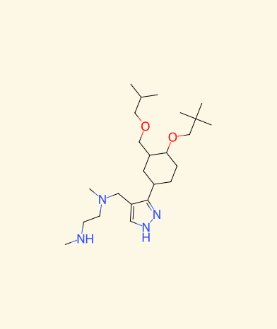 CNCCN(C)Cc1c[nH]nc1C1CCC(OCC(C)(C)C)C(COCC(C)C)C1